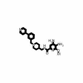 CCOc1nc(C(=O)NCC2CCN(Cc3cccc(-c4ccncc4)c3)CC2)cc(N)c1N